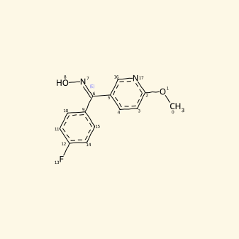 COc1ccc(/C(=N/O)c2ccc(F)cc2)cn1